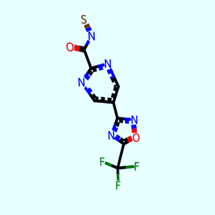 O=C(N=S)c1ncc(-c2noc(C(F)(F)F)n2)cn1